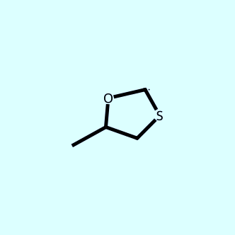 CC1CS[CH]O1